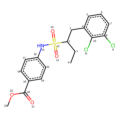 CCC(Cc1cccc(Cl)c1Cl)S(=O)(=O)Nc1ccc(C(=O)OC)cc1